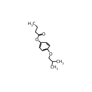 CCCC(=O)Oc1ccc(OCC(C)C)cc1